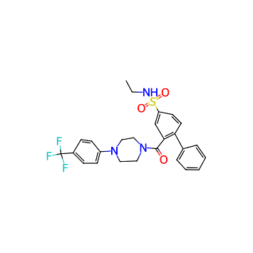 CCNS(=O)(=O)c1ccc(-c2ccccc2)c(C(=O)N2CCN(c3ccc(C(F)(F)F)cc3)CC2)c1